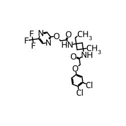 CCC1(NC(=O)COc2cnc(C(F)(F)F)cn2)CC(C)(NC(=O)COc2ccc(Cl)c(Cl)c2)C1